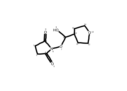 O=C1CCC(=O)N1OC(O)C1CCOCC1